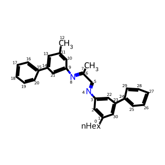 CCCCCCc1cc(N=CC(C)=Nc2cc(C)cc(-c3ccccc3)c2)cc(-c2ccccc2)c1